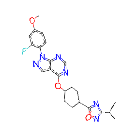 COc1ccc(-n2ncc3c(OC4CCC(c5nc(C(C)C)no5)CC4)ncnc32)c(F)c1